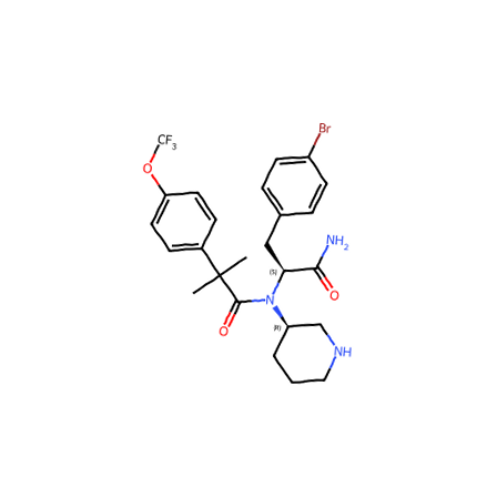 CC(C)(C(=O)N([C@@H]1CCCNC1)[C@@H](Cc1ccc(Br)cc1)C(N)=O)c1ccc(OC(F)(F)F)cc1